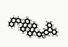 c1ccc2c(c1)ccc1ccc(-c3c4ccccc4c(-c4c5ccccc5c(-c5ccc6oc7cc8c9ccccc9c9ccccc9c8cc7c6c5)c5ccccc45)c4ccccc34)cc12